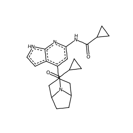 O=C(Nc1cc(C2CC3CCC(C2)N3C(=O)C2CC2)c2cc[nH]c2n1)C1CC1